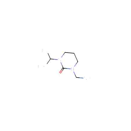 CC(C)N1CCCN(CN)C1=O